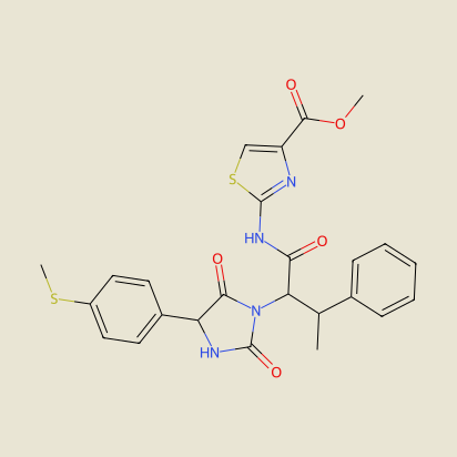 COC(=O)c1csc(NC(=O)C(C(C)c2ccccc2)N2C(=O)NC(c3ccc(SC)cc3)C2=O)n1